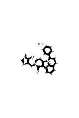 Cc1[nH]cnc1CN1CCc2c(c3cccc4c3n2C(c2ccccc2)CC4)C1=O.Cl